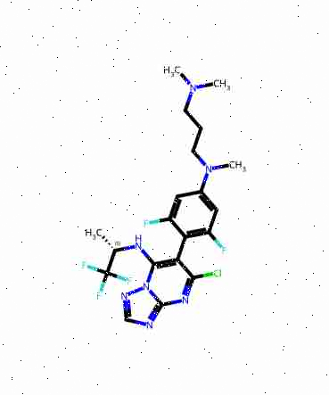 C[C@H](Nc1c(-c2c(F)cc(N(C)CCCN(C)C)cc2F)c(Cl)nc2ncnn12)C(F)(F)F